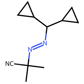 CC(C)(C#N)/N=N/C(C1CC1)C1CC1